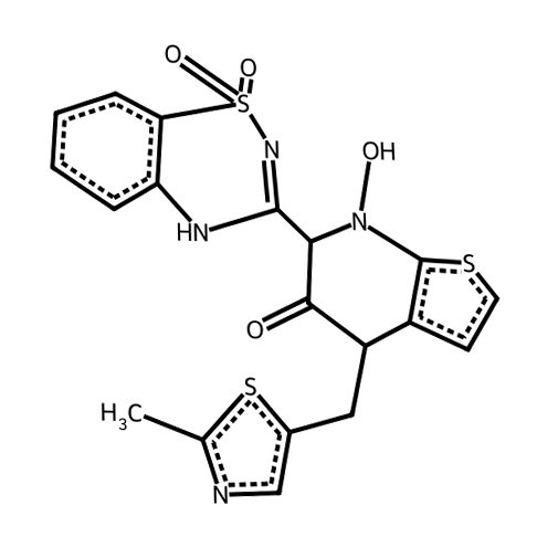 Cc1ncc(CC2C(=O)C(C3=NS(=O)(=O)c4ccccc4N3)N(O)c3sccc32)s1